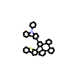 c1ccc(-n2c3ccccc3c3cc(-c4cc5c(c(-c6cccc7c6sc6ccccc67)c4)-c4ccccc4-c4ccccc4-c4ccccc4-5)ccc32)cc1